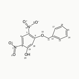 O=[N+]([O-])c1cc([N+](=O)[O-])c(OCc2ccccc2)cc1O